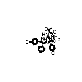 CC(=O)[C@@H](N/C(=N/S(=O)(=O)c1ccc(Cl)cc1)N1C[C@H](c2ccccc2)C(c2ccc(Cl)cc2)=N1)C(N)=O